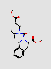 COC(=O)CCN(C(=O)N1Cc2ccccc2C[C@H]1C(=O)OC)C(C)C